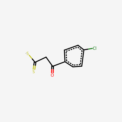 O=C(CC([S])=S)c1ccc(Cl)cc1